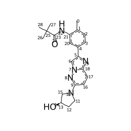 Cc1ccc(-c2cn3nc(N4CC[C@@H](O)C4)ccc3n2)cc1NC(=O)C(C)(C)C